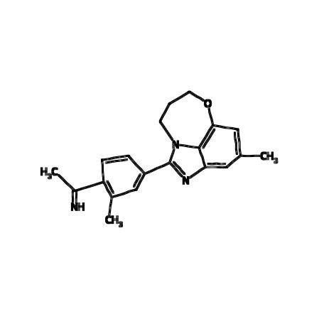 CC(=N)c1ccc(-c2nc3cc(C)cc4c3n2CCCO4)cc1C